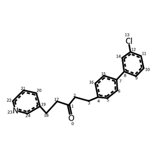 O=C(CCc1ccc(-c2cccc(Cl)c2)cc1)CCc1cccnc1